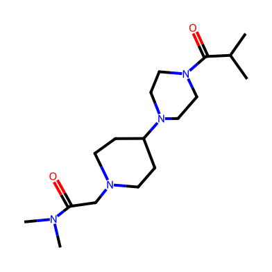 CC(C)C(=O)N1CCN(C2CCN(CC(=O)N(C)C)CC2)CC1